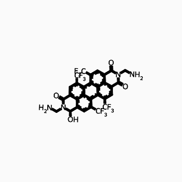 NCN1C(=O)c2cc(C(F)(F)F)c3c4c(C(F)(F)F)cc5c6c(cc(C(F)(F)F)c(c7c(C(F)(F)F)cc(c2c37)C1=O)c64)C(O)N(CN)C5=O